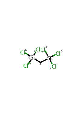 Cl[Si](Cl)(Cl)C[Si](Cl)(Cl)Cl